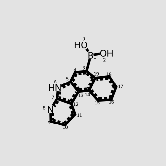 OB(O)c1cc2[nH]c3ncccc3c2c2ccccc12